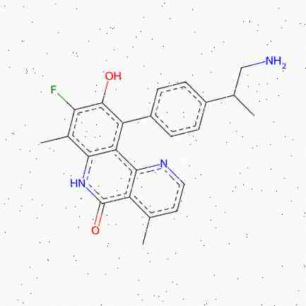 Cc1c(F)c(O)c(-c2ccc(C(C)CN)cc2)c2c1[nH]c(=O)c1c(C)ccnc12